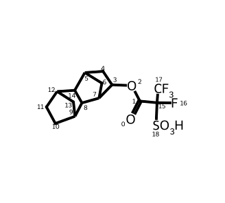 O=C(OC1CC2CC1C1C3CCC(C3)C21)C(F)(C(F)(F)F)S(=O)(=O)O